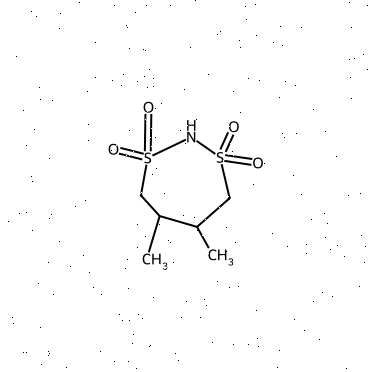 CC1CS(=O)(=O)NS(=O)(=O)CC1C